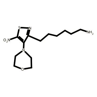 NCCCCCCc1nsc([N+](=O)[O-])c1N1CCOCC1